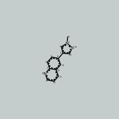 Cn1cc(-c2ccc3ncccc3c2)cn1